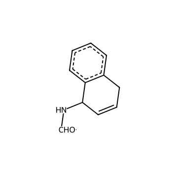 O=[C]NC1C=CCc2ccccc21